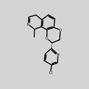 CC1N=CCc2ccc3c(c21)O[C@@H](c1ccc(Cl)cn1)CO3